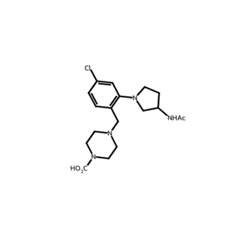 CC(=O)NC1CCN(c2cc(Cl)ccc2CN2CCN(C(=O)O)CC2)C1